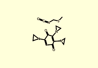 CSCN=C=O.O=C1C=C(N2CC2)C(=O)C(N2CC2)=C1N1CC1